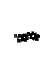 Cc1cc(OC2CCS(=O)(=O)CC2)ncc1Br